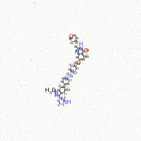 Cn1nc(N2C=CCNC2)c2cc(F)c(C3CCN(CCN4CCC(COc5cc(F)c6c(=O)[nH]c(CSC7CCOCC7)nc6c5)CC4)CC3)cc21